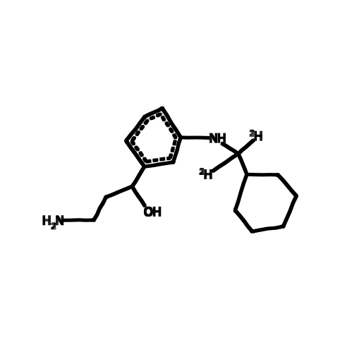 [2H]C([2H])(Nc1cccc(C(O)CCN)c1)C1CCCCC1